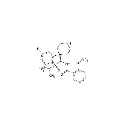 COc1ccccc1C(=O)NC(C1(c2cc(F)cc(F)c2)CCNCC1)S(=O)(=O)N(C)C